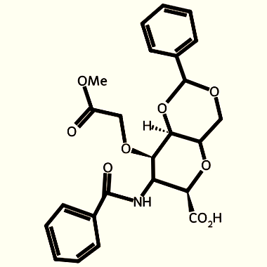 COC(=O)CO[C@@H]1C(NC(=O)c2ccccc2)[C@H](C(=O)O)OC2COC(c3ccccc3)O[C@@H]21